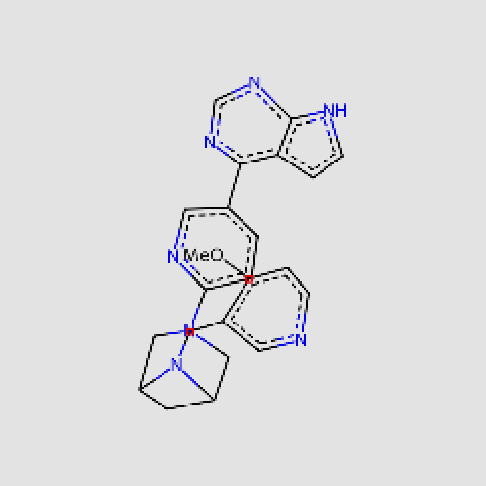 COc1ccncc1CN1C2CC1CN(c1ccc(-c3ncnc4[nH]ccc34)cn1)C2